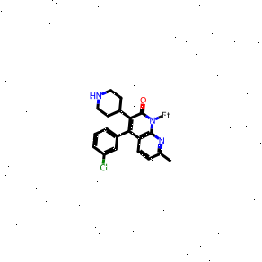 CCn1c(=O)c(C2CCNCC2)c(-c2cccc(Cl)c2)c2ccc(C)nc21